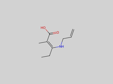 C=CCNC(CC)=C(C)C(=O)O